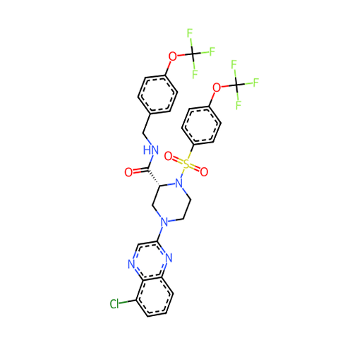 O=C(NCc1ccc(OC(F)(F)F)cc1)[C@H]1CN(c2cnc3c(Cl)cccc3n2)CCN1S(=O)(=O)c1ccc(OC(F)(F)F)cc1